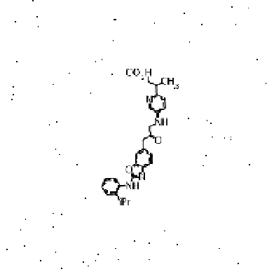 CC(C)c1ccccc1Nc1nc2ccc(CC(=O)CNc3ccc(C(C)CC(=O)O)nc3)cc2o1